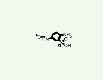 COCNc1ccc(N)c(S(=O)(=O)O)c1